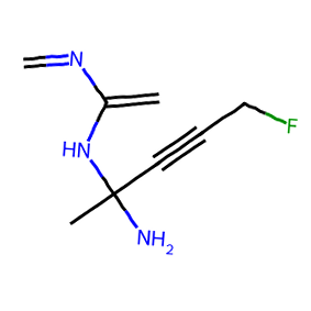 C=NC(=C)NC(C)(N)C#CCF